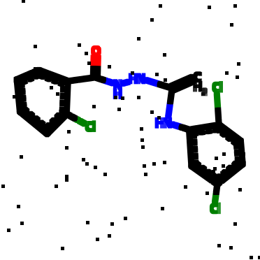 C=C(NNC(=O)c1ccccc1Cl)Nc1cc(Cl)ccc1Cl